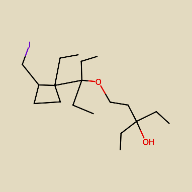 CCC(O)(CC)CCOC(CC)(CC)C1(CC)CCC1CI